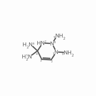 NN1C=CC(N)(N)NN1N